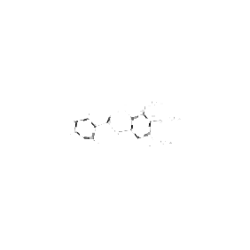 COc1cc(NC(=O)c2ccccc2F)c(C)c(OC)c1OC